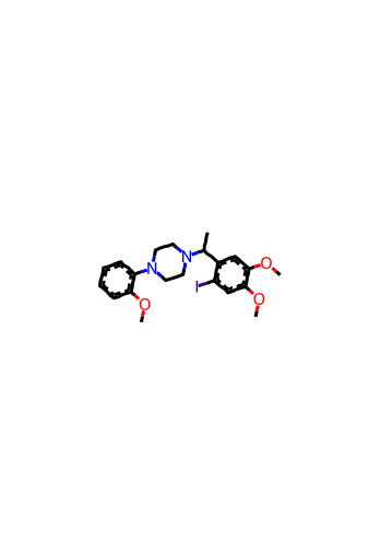 COc1cc(I)c(C(C)N2CCN(c3ccccc3OC)CC2)cc1OC